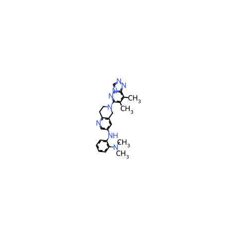 Cc1c(N2CCc3ncc(Nc4ccccc4N(C)C)cc3C2)nn2cnnc2c1C